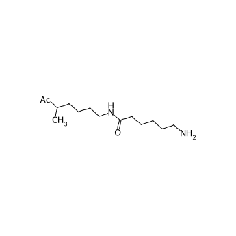 CC(=O)C(C)CCCCNC(=O)CCCCCN